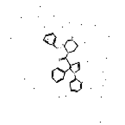 O=C(c1ccn(-c2ccccc2)c1-c1ccccc1)N1CCNC[C@H]1Cc1ccccc1